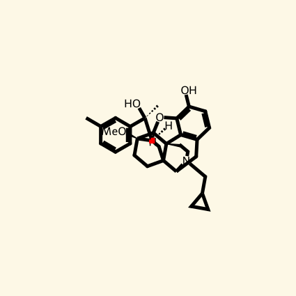 CO[C@]12CCC3(C[C@@H]1[C@](C)(O)c1cccc(C)c1)C1Cc4ccc(O)c5c4[C@@]3(CCN1CC1CC1)[C@@H]2O5